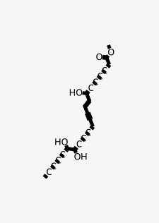 C=C=C=C=C=C(O)C(O)=C=C=C=CC#C/C=C/C(O)=C=C=C=C=CC(=O)OC